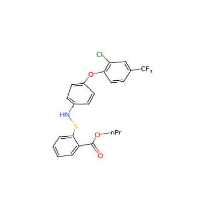 CCCOC(=O)c1ccccc1SNc1ccc(Oc2ccc(C(F)(F)F)cc2Cl)cc1